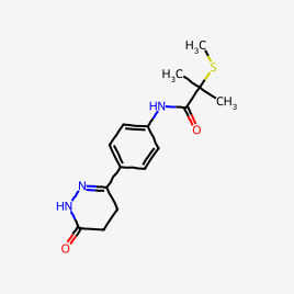 CSC(C)(C)C(=O)Nc1ccc(C2=NNC(=O)CC2)cc1